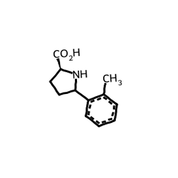 Cc1ccccc1C1CC[C@@H](C(=O)O)N1